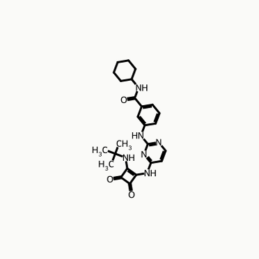 CC(C)(C)Nc1c(Nc2ccnc(Nc3cccc(C(=O)NC4CCCCC4)c3)n2)c(=O)c1=O